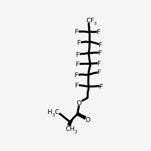 C=C(C)C(=O)OCC(F)(F)C(F)(F)C(F)(F)C(F)(F)C(F)(F)C(F)(F)C(F)(F)F